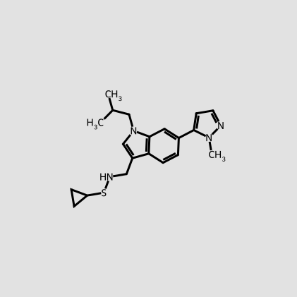 CC(C)Cn1cc(CNSC2CC2)c2ccc(-c3ccnn3C)cc21